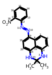 CC1(C)Nc2cccc3c(/N=N/c4ccccc4[N+](=O)[O-])ccc(c23)N1